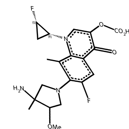 COC1CN(c2c(F)cc3c(=O)c(OC(=O)O)cn([C@@H]4C[C@@H]4F)c3c2C)CC1(C)N